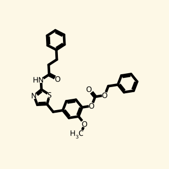 COc1cc(Cc2cnc(NC(=O)CCc3ccccc3)s2)ccc1OC(=O)OCc1ccccc1